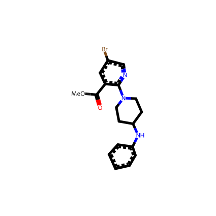 COC(=O)c1cc(Br)cnc1N1CCC(Nc2ccccc2)CC1